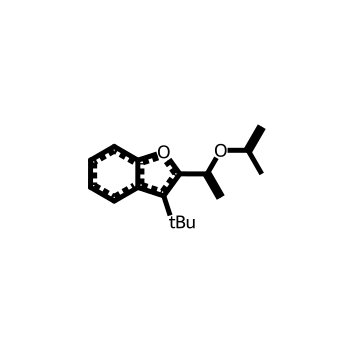 C=C(C)OC(=C)c1oc2ccccc2c1C(C)(C)C